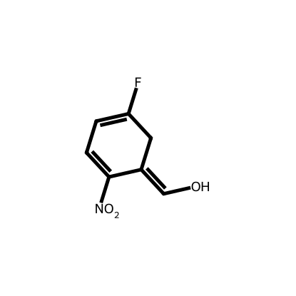 O=[N+]([O-])C1=CC=C(F)CC1=CO